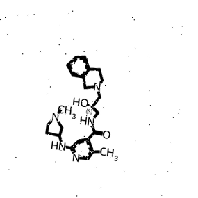 Cc1cnc(NC2CCN(C)C2)cc1C(=O)NC[C@H](O)CN1CCc2ccccc2C1